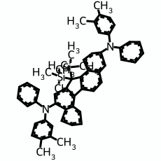 Cc1ccc(N(c2ccccc2)c2ccc3c4c(ccc3c2)-c2c(cc(N(c3ccccc3)c3ccc(C)c(C)c3)c3ccccc23)C4([Si](C)(C)C)[Si](C)(C)C)cc1C